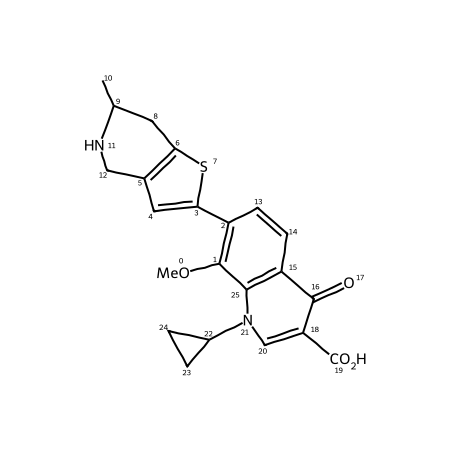 COc1c(-c2cc3c(s2)CC(C)NC3)ccc2c(=O)c(C(=O)O)cn(C3CC3)c12